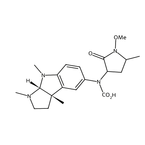 CON1C(=O)C(N(C(=O)O)c2ccc3c(c2)[C@]2(C)CCN(C)[C@@H]2N3C)CC1C